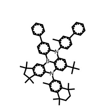 Cc1cc(-c2ccccc2)ccc1N1c2cc(-c3ccccc3)ccc2B2c3cc4c(cc3N(c3cc5c(cc3C)C(C)(C)CCC5(C)C)c3cc(C(C)(C)C)cc1c32)C(C)(C)CC4(C)C